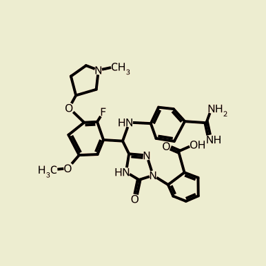 COc1cc(OC2CCN(C)C2)c(F)c(C(Nc2ccc(C(=N)N)cc2)c2nn(-c3ccccc3C(=O)O)c(=O)[nH]2)c1